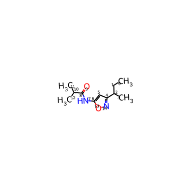 CCC(C)c1cc(NC(=O)C(C)C)on1